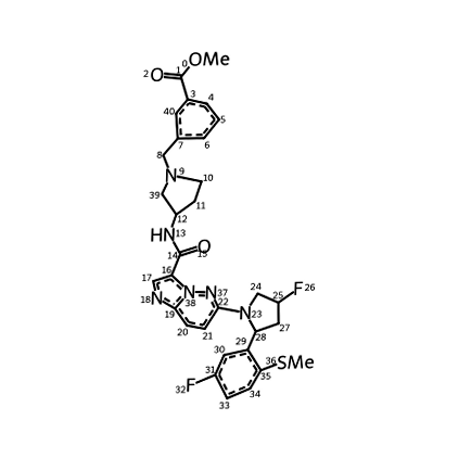 COC(=O)c1cccc(CN2CCC(NC(=O)c3cnc4ccc(N5CC(F)CC5c5cc(F)ccc5SC)nn34)C2)c1